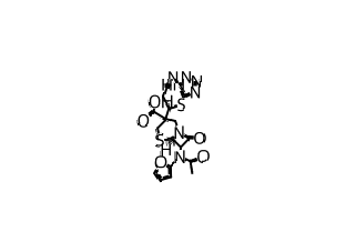 CC(=O)N(c1ccco1)C1C(=O)N2CC(C(=O)O)(C(CC#N)Sc3nnn[nH]3)CS[C@H]12